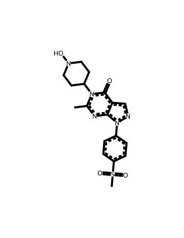 Cc1nc2c(cnn2-c2ccc(S(C)(=O)=O)cc2)c(=O)n1C1CCN(O)CC1